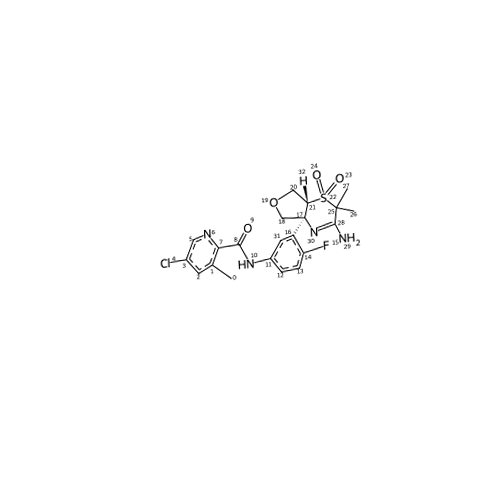 Cc1cc(Cl)cnc1C(=O)Nc1ccc(F)c([C@]23COC[C@@H]2S(=O)(=O)C(C)(C)C(N)=N3)c1